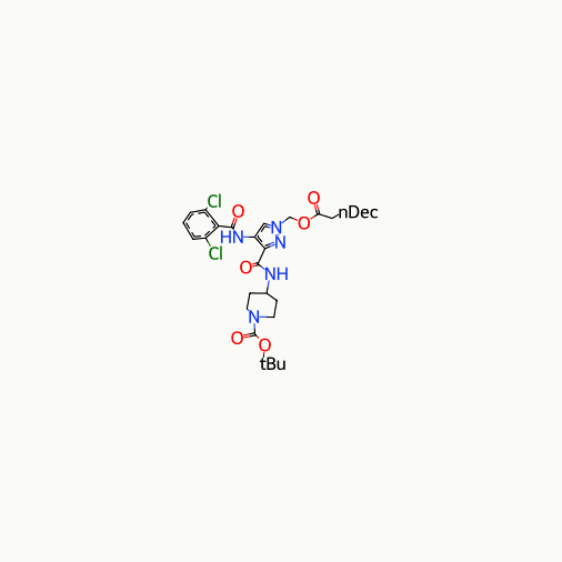 CCCCCCCCCCCC(=O)OCn1cc(NC(=O)c2c(Cl)cccc2Cl)c(C(=O)NC2CCN(C(=O)OC(C)(C)C)CC2)n1